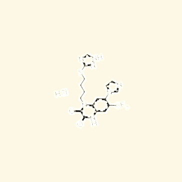 Cl.O=c1[nH]c2cc(C(F)(F)F)c(-n3ccnc3)cc2n(CCCCSc2nc[nH]n2)c1=O